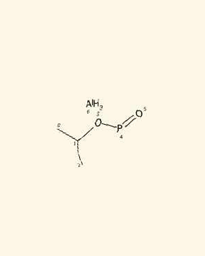 CC(C)OP=O.[AlH3]